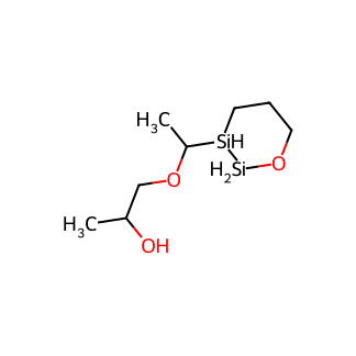 CC(O)COC(C)[SiH]1CCCO[SiH2]1